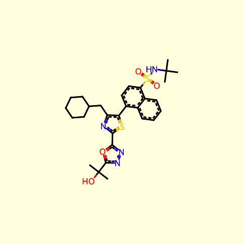 CC(C)(C)NS(=O)(=O)c1ccc(-c2sc(-c3nnc(C(C)(C)O)o3)nc2CC2CCCCC2)c2ccccc12